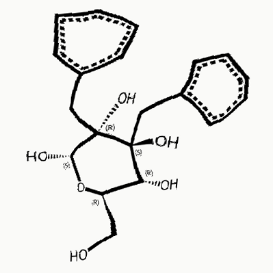 OC[C@H]1O[C@H](O)[C@@](O)(Cc2ccccc2)[C@](O)(Cc2ccccc2)[C@@H]1O